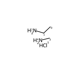 CCN.CN.Cl